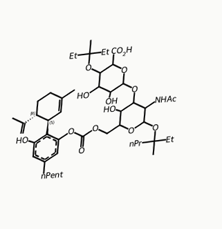 C=C(C)[C@@H]1CCC(C)=C[C@H]1c1c(O)cc(CCCCC)cc1OC(=O)OCC1OC(OC(C)(CC)CCC)C(NC(C)=O)C(OC2OC(C(=O)O)C(OC(C)(CC)CC)C(O)C2O)C1O